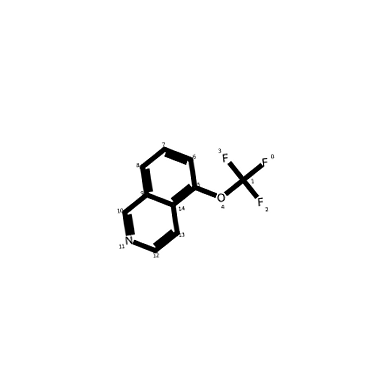 FC(F)(F)Oc1cccc2cnccc12